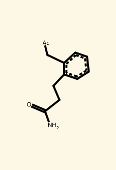 CC(=O)Cc1ccccc1CCC(N)=O